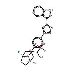 OC(CN1[C@@H]2CC[C@H]1C[C@@H](c1ccc(-n3cc(-c4n[nH]c5ccccc45)nn3)cc1)C2)C(F)(F)F